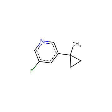 CC1(c2cncc(F)c2)CC1